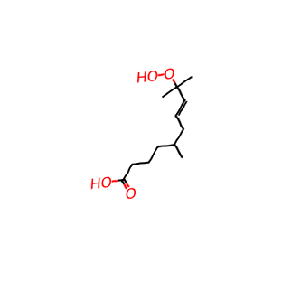 CC(C/C=C/C(C)(C)OO)CCCC(=O)O